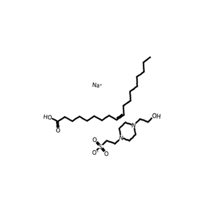 CCCCCCCC/C=C\CCCCCCCC(=O)O.O=S(=O)([O-])CCN1CCN(CCO)CC1.[Na+]